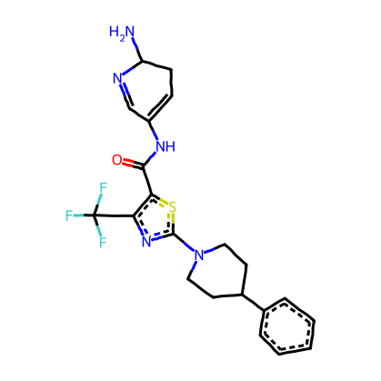 NC1CC=C(NC(=O)c2sc(N3CCC(c4ccccc4)CC3)nc2C(F)(F)F)C=N1